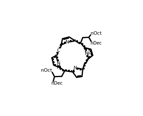 CCCCCCCCCCC(CCCCCCCC)Cc1c2nc(cc3ccc([nH]3)c(CC(CCCCCCCC)CCCCCCCCCC)c3nc(cc4ccc1[nH]4)C=C3)C=C2